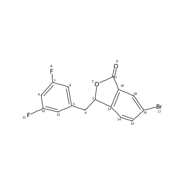 O=C1OC(Cc2cc(F)cc(F)c2)c2ccc(Br)cc21